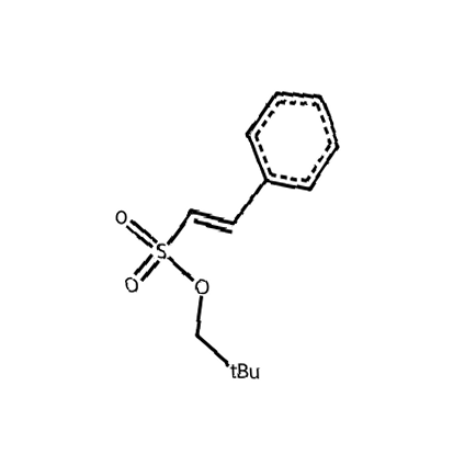 CC(C)(C)COS(=O)(=O)C=Cc1ccccc1